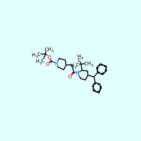 CC(C)(C)OC(=O)N1CCC(CC(=O)N2CCC(C(c3ccccc3)c3ccccc3)CC2C(C)(C)C)CC1